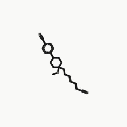 COC1(CCC=CC=CC#N)CCC(c2ccc(C#N)cc2)CC1